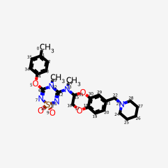 Cc1ccc(OC2=NS(=O)(=O)N=C(N(C)C3COc4ccc(CN5CCCCC5)cc4O3)N2C)cc1